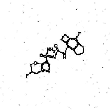 NS(=O)(=NC(=O)Nc1c2c(c(F)c3c1CC3)CCC2)c1cnn2c1OCC(F)C2